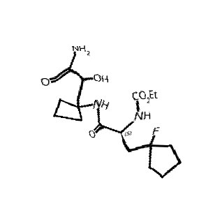 CCOC(=O)N[C@@H](CC1(F)CCCC1)C(=O)NC1(C(O)C(N)=O)CCC1